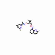 C/C(=N\OCC1(CO/N=C2\CCCc3ccc(C)nc32)CC1)c1cc(C)cc(C)n1